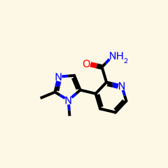 Cc1ncc(-c2cccnc2C(N)=O)n1C